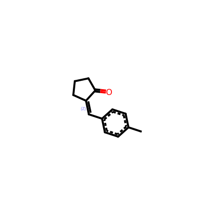 Cc1ccc(/C=C2/CCCC2=O)cc1